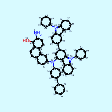 Nc1ccc2c(ccc3ccc(N(c4ccc(-c5ccccc5)cc4)c4cc(-c5ccc6c(c5)c5ccccc5n6-c5ccccc5)cc5c4c4ccccc4n5-c4ccccc4)cc32)c1O